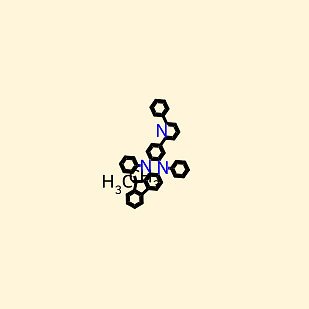 CC1(C)c2ccccc2-c2ccc3c(c21)N(c1ccccc1)c1ccc(-c2cccc(-c4ccccc4)n2)cc1N3c1ccccc1